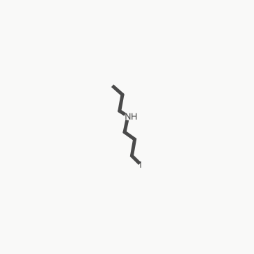 CCCNCCCI